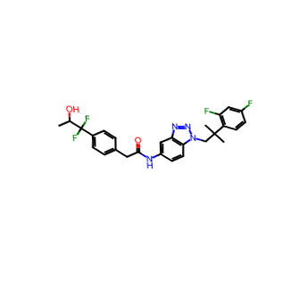 CC(O)C(F)(F)c1ccc(CC(=O)Nc2ccc3c(c2)nnn3CC(C)(C)c2ccc(F)cc2F)cc1